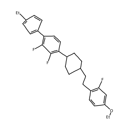 CCOc1ccc(CCC2CCC(c3ccc(-c4ccc(CC)cc4)c(F)c3F)CC2)c(F)c1